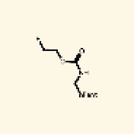 CCCCCCNC(=O)OCCF